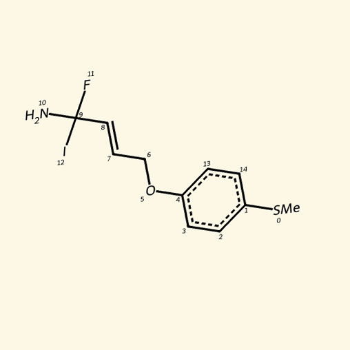 CSc1ccc(OCC=CC(N)(F)I)cc1